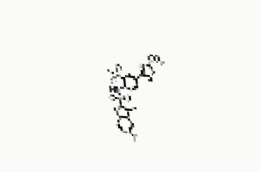 Cc1c(S(=O)(=O)Nc2ccc(C3=N[C@H](C(=O)O)CS3)cc2S(C)(=O)=O)sc2ccc(F)cc12